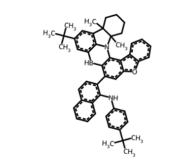 CC(C)(C)c1ccc(Nc2c(-c3cc4oc5ccccc5c4c4c3Bc3cc(C(C)(C)C)cc5c3N4C3(C)CCCCC53C)ccc3ccccc23)cc1